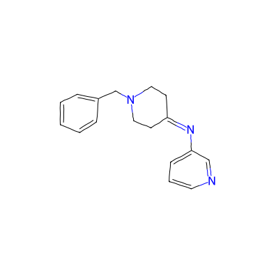 c1ccc(CN2CCC(=Nc3cccnc3)CC2)cc1